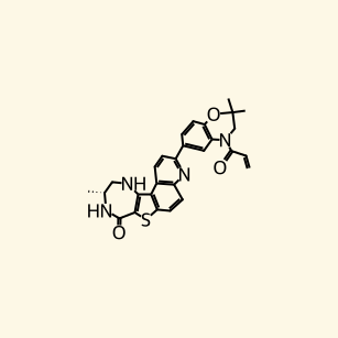 C=CC(=O)N1CC(C)(C)Oc2ccc(-c3ccc4c(ccc5sc6c(c54)NC[C@@H](C)NC6=O)n3)cc21